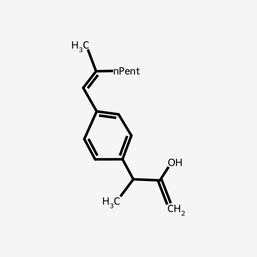 C=C(O)C(C)c1ccc(/C=C(/C)CCCCC)cc1